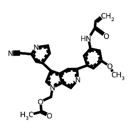 C=CC(=O)Nc1cc(OC)cc(-c2cc3c(-c4ccnc(C#N)c4)cn(COC(C)=O)c3cn2)c1